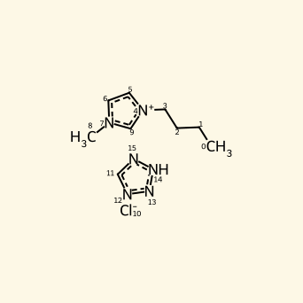 CCCC[n+]1ccn(C)c1.[Cl-].c1nn[nH]n1